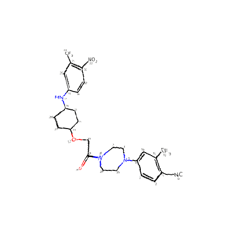 [C-]#[N+]c1ccc(N2CCN(C(=O)COC3CCC(Nc4ccc([N+](=O)[O-])c(C(F)(F)F)c4)CC3)CC2)cc1C(F)(F)F